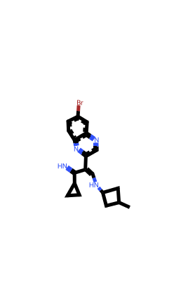 CC1CC(N/C=C(\C(=N)C2CC2)c2cnc3cc(Br)ccc3n2)C1